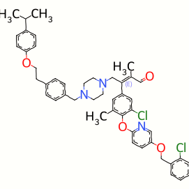 C/C(C=O)=C(\CN1CCN(Cc2ccc(CCOc3ccc(C(C)C)cc3)cc2)CC1)c1cc(C)c(Oc2ccc(OCc3ccccc3Cl)cn2)c(Cl)c1